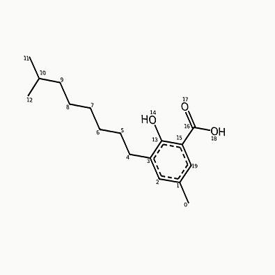 Cc1cc(CCCCCCC(C)C)c(O)c(C(=O)O)c1